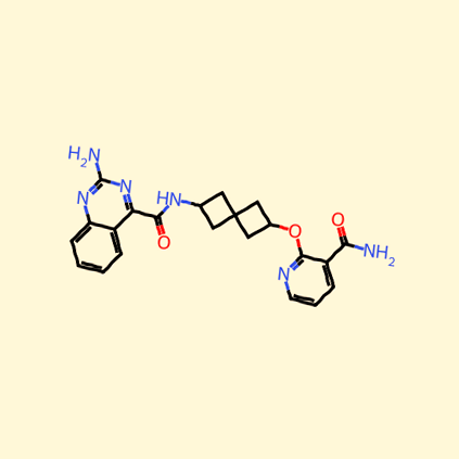 NC(=O)c1cccnc1OC1CC2(CC(NC(=O)c3nc(N)nc4ccccc34)C2)C1